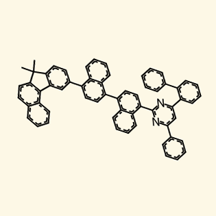 CC1(C)c2ccc(-c3ccc(-c4ccc(-c5nc(-c6ccccc6)cc(-c6ccccc6-c6ccccc6)n5)c5ccccc45)c4ccccc34)cc2-c2c1ccc1ccccc21